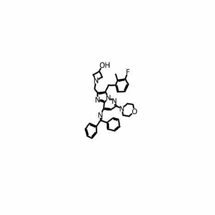 Cc1c(F)cccc1Cc1c(CN2CC(O)C2)nc2c(N=C(c3ccccc3)c3ccccc3)cc(N3CCOCC3)nn12